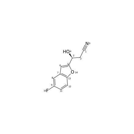 N#CC[C@H](O)c1cc2cc(F)ccc2o1